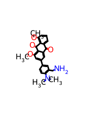 COc1cccc2c1C(=O)c1c(OC)cc(-c3ccc(N(C)C)c(CN)c3)cc1C2=O